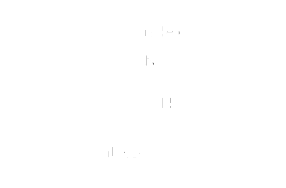 [CH2]CCCCCCCCC=NCCCCCC.[LiH]